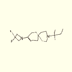 CCC(C)(C)N1CCC2(CCC(N3CC(F)(F)C3)CC2)CC1